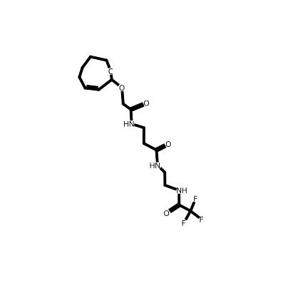 O=C(CCNC(=O)COC1/C=C\CCCCC1)NCCNC(=O)C(F)(F)F